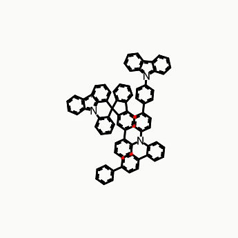 c1ccc(-c2ccc(-c3ccccc3N(c3ccc(-c4ccc(-n5c6ccccc6c6ccccc65)cc4)cc3)c3ccccc3-c3ccc4c(c3)C3(c5ccccc5-4)c4ccccc4-n4c5ccccc5c5cccc3c54)cc2)cc1